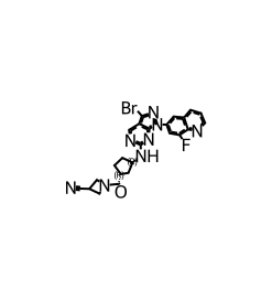 N#CC1CN(C(=O)[C@@H]2CC[C@@H](Nc3ncc4c(Br)nn(-c5cc(F)c6ncccc6c5)c4n3)C2)C1